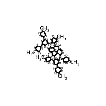 Cc1ccc(-c2cc(-c3ccc(C)cc3)cc(N(c3ccc(C)cc3)c3ccc4ccc5c(N(c6ccc(C)cc6)c6cc(-c7ccc(C)cc7)cc(-c7ccc(C)cc7)c6)ccc6ccc3c4c65)c2)cc1